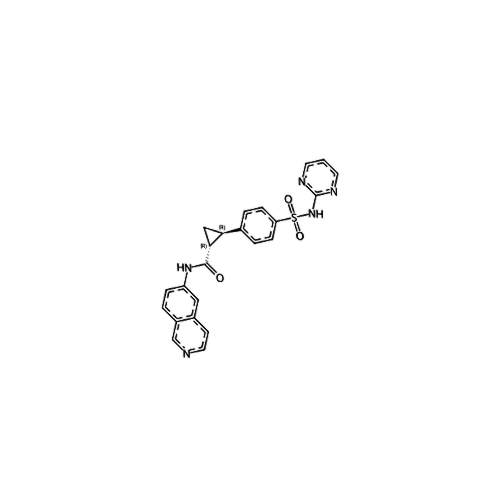 O=C(Nc1ccc2cnccc2c1)[C@@H]1C[C@H]1c1ccc(S(=O)(=O)Nc2ncccn2)cc1